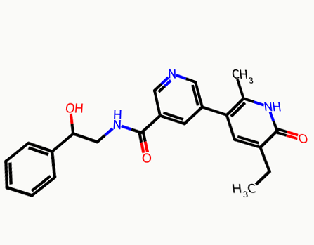 CCc1cc(-c2cncc(C(=O)NCC(O)c3ccccc3)c2)c(C)[nH]c1=O